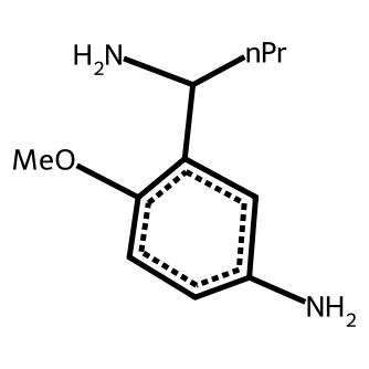 CCCC(N)c1cc(N)ccc1OC